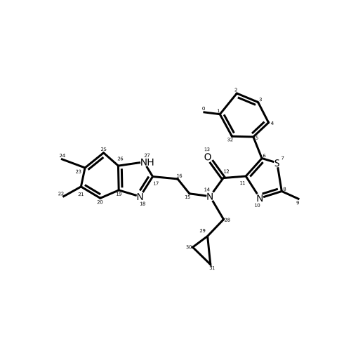 Cc1cccc(-c2sc(C)nc2C(=O)N(CCc2nc3cc(C)c(C)cc3[nH]2)CC2CC2)c1